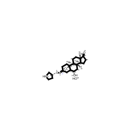 C[C@]12CC/C(=N\O[C@@H]3CCNC3)CC1[C@@H](O)C[C@@H]1[C@@H]2CC[C@]2(C)C(=O)CC[C@@H]12.Cl